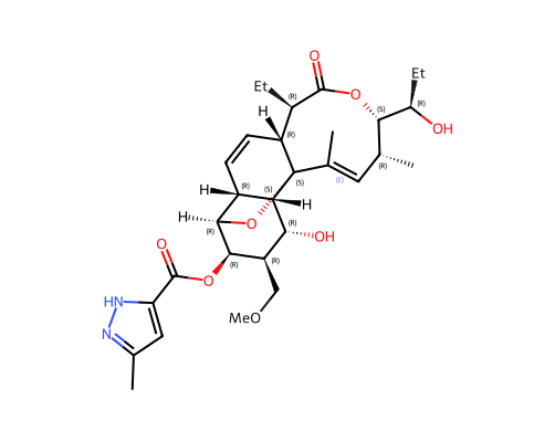 CC[C@@H](O)[C@H]1OC(=O)[C@H](CC)[C@H]2C=C[C@H]3[C@H]4O[C@]2(/C(C)=C/[C@H]1C)[C@@H]3[C@H](O)[C@@H](COC)[C@H]4OC(=O)c1cc(C)n[nH]1